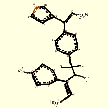 CCCC(/C(=C/C(=O)O)c1ccc(C(C)(C)C)cc1)C(C)(C)c1ccc(/C(=C\C(=O)O)c2ccsc2)cc1